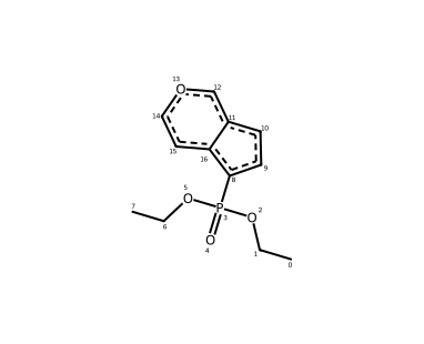 CCOP(=O)(OCC)c1ccc2coccc1-2